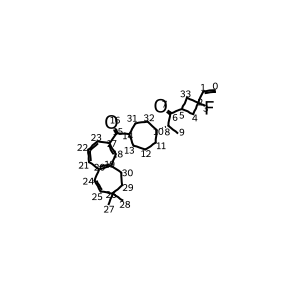 C=CC1(F)CC(C(=O)C(C)[C@@H]2CCCC(C(=O)C3=CC4=C(C=C=C3)C=CC(C)(C)CC4)CC2)C1